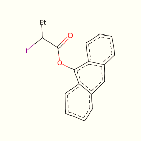 CCC(I)C(=O)Oc1c2ccccc2cc2ccccc12